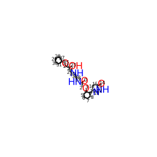 O=C(COc1ccccc1C1=NNC(=O)CC1)NCCNCC(O)COc1ccccc1